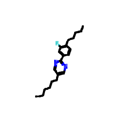 CCCCCCc1cnc(-c2ccc(CCCCC)c(F)c2)nc1